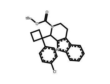 CC(C)(C)OC(=O)N1CCc2c([nH]c3ccccc23)C1C1(c2ccc(Cl)cc2)CCC1